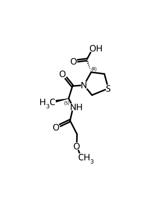 COCC(=O)N[C@@H](C)C(=O)N1CSC[C@H]1C(=O)O